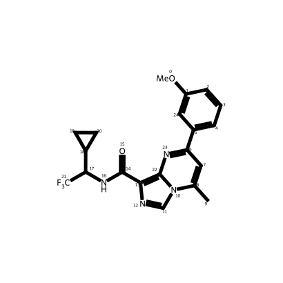 COc1cccc(-c2cc(C)n3cnc(C(=O)NC(C4CC4)C(F)(F)F)c3n2)c1